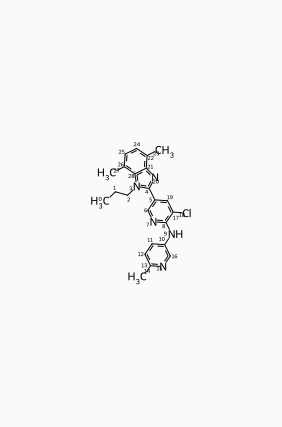 CCCn1c(-c2cnc(Nc3ccc(C)nc3)c(Cl)c2)nc2c(C)ccc(C)c21